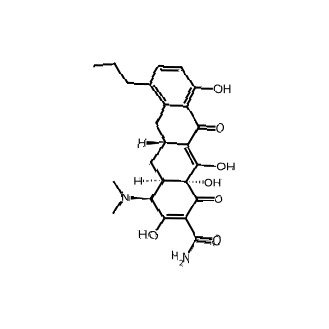 CCCc1ccc(O)c2c1C[C@H]1C[C@@H]3[C@H](N(C)C)C(O)=C(C(N)=O)C(=O)[C@]3(O)C(O)=C1C2=O